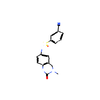 CN1Cc2cc(NS(=O)(=O)c3cccc(C#N)c3)ccc2NC1=O